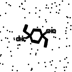 C=CC1(C=O)C=CC(C=C)(C=O)C=C1